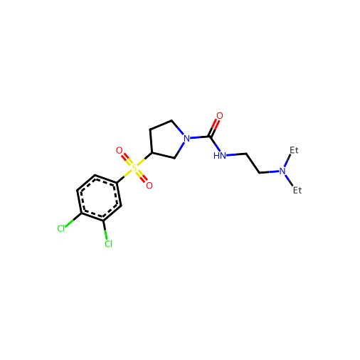 CCN(CC)CCNC(=O)N1CCC(S(=O)(=O)c2ccc(Cl)c(Cl)c2)C1